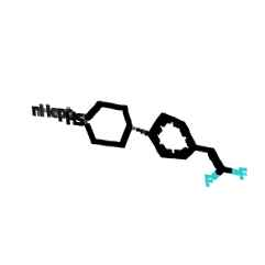 CCCCCCC[Si@H]1CC[C@H](c2ccc(C=C(F)F)cc2)CC1